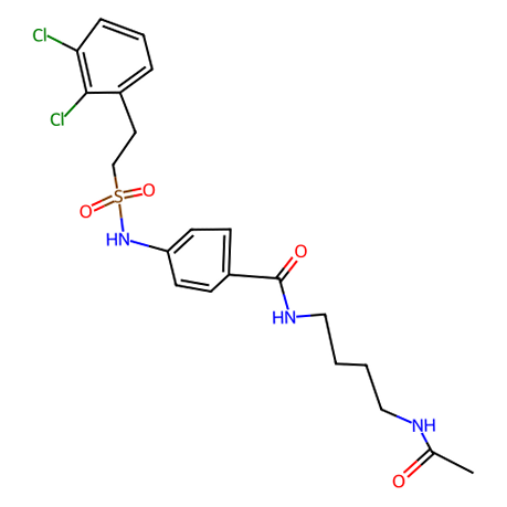 CC(=O)NCCCCNC(=O)c1ccc(NS(=O)(=O)CCc2cccc(Cl)c2Cl)cc1